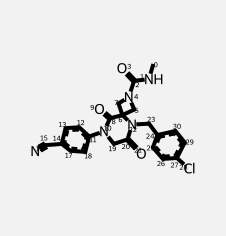 CNC(=O)N1CC2(C1)C(=O)N(c1ccc(C#N)cc1)CC(=O)N2Cc1ccc(Cl)cc1